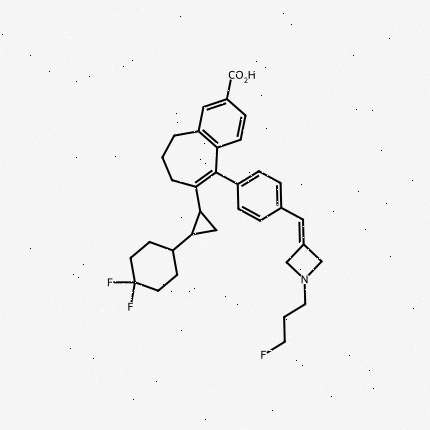 O=C(O)c1ccc2c(c1)CCCC(C1CC1C1CCC(F)(F)CC1)=C2c1ccc(C=C2CN(CCCF)C2)cc1